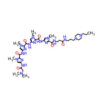 CCCN1CCN(CCCNC(=O)CCNC(=O)c2nc(NC(=O)c3nc(NC(=O)c4nc(NC(=O)c5nc(NC(=O)CN(C)C)cn5C)cn4C)cn3C)cn2C)CC1